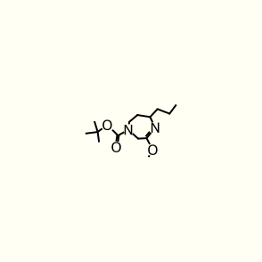 CCCC1CCN(C(=O)OC(C)(C)C)CC(OC)=N1